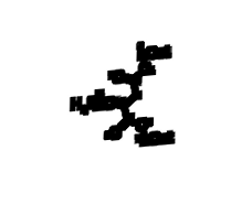 CCCCCCCCOC(=O)CC(O)C(=O)OCCCCCCCC.[SnH4]